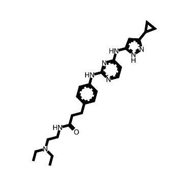 CCN(CC)CCNC(=O)CCc1ccc(Nc2nccc(Nc3cc(C4CC4)n[nH]3)n2)cc1